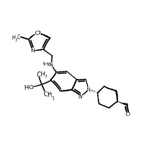 Cc1nc(CNc2cc3cn([C@H]4CC[C@H](C=O)CC4)nc3cc2C(C)(C)O)co1